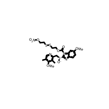 COc1ccc2nc([S+]([O-])Cc3ncc(C)c(OC)c3C)n(C(=O)OCCSSCCO[N+](=O)[O-])c2c1